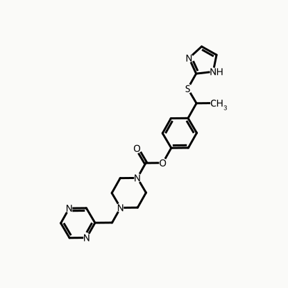 CC(Sc1ncc[nH]1)c1ccc(OC(=O)N2CCN(Cc3cnccn3)CC2)cc1